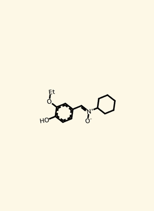 CCOc1cc(C=[N+]([O-])C2CCCCC2)ccc1O